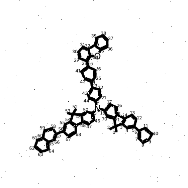 CC1(C)c2cc(-c3ccccc3)ccc2-c2ccc(N(c3ccc(-c4ccc(-c5cccc6c5oc5ccccc56)cc4)cc3)c3ccc4c(c3)C(C)(C)c3cc(-c5ccc6ccccc6c5)ccc3-4)cc21